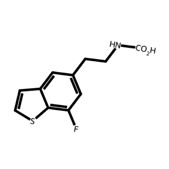 O=C(O)NCCc1cc(F)c2sccc2c1